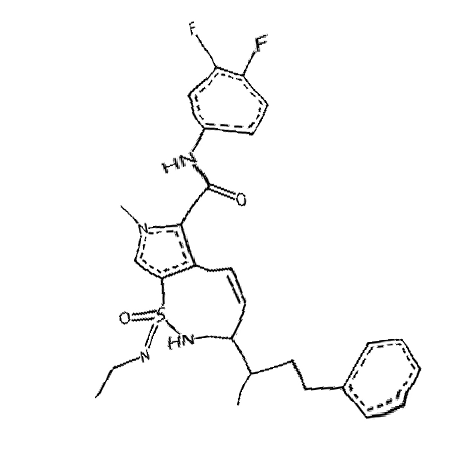 CCN=S1(=O)NC(C(C)CCc2ccccc2)C=Cc2c1cn(C)c2C(=O)Nc1ccc(F)c(F)c1